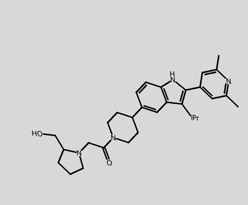 Cc1cc(-c2[nH]c3ccc(C4CCN(C(=O)CN5CCCC5CO)CC4)cc3c2C(C)C)cc(C)n1